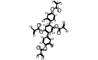 C=C(C)C(=O)Oc1ccc(-c2cc(OC(=O)C(=C)C)c(-c3ccc(OC(=O)C(=C)C)c(F)c3)cc2OC(=O)C(=C)C)c(C)c1